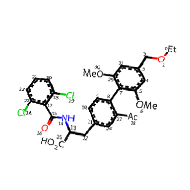 CCOCc1cc(OC)c(-c2ccc(CC(NC(=O)c3c(Cl)cccc3Cl)C(=O)O)cc2C(C)=O)c(OC)c1